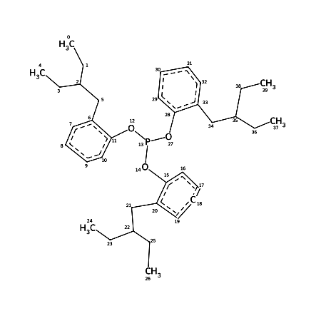 CCC(CC)Cc1ccccc1OP(Oc1ccccc1CC(CC)CC)Oc1ccccc1CC(CC)CC